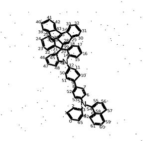 c1ccc(N(c2ccc(-c3ccc(N4c5ccccc5C(c5ccccc5)(c5cc6ccccc6c6c5oc5ccccc56)c5ccccc54)cc3)cc2)c2cccc3ccccc23)cc1